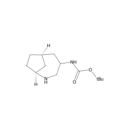 CC(C)(C)OC(=O)NC1CN[C@H]2CC[C@@H](C1)C2